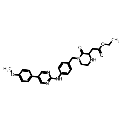 CCOC(=O)CC1NCCN(Cc2ccc(Nc3ncc(-c4ccc(OC)cc4)cn3)cc2)C1=O